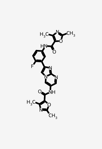 Cc1nc(C)c(C(=O)Nc2ccc(F)c(-c3cn4cc(NC(=O)c5oc(C)nc5C)cnc4n3)c2)o1